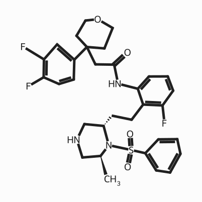 C[C@H]1CNC[C@H](CCc2c(F)cccc2NC(=O)CC2(c3ccc(F)c(F)c3)CCOCC2)N1S(=O)(=O)c1ccccc1